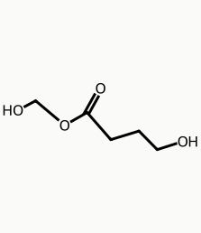 O=C(CCCO)OCO